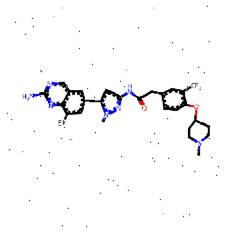 CCc1cc(-c2cc(NC(=O)Cc3ccc(OC4CCN(C)CC4)c(C(F)(F)F)c3)nn2C)cc2cnc(N)nc12